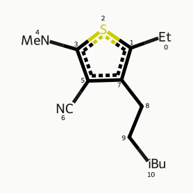 CCc1sc(NC)c(C#N)c1CCC(C)CC